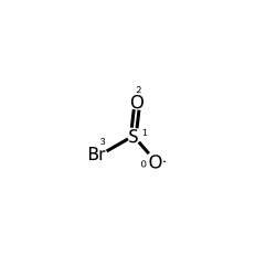 [O]S(=O)Br